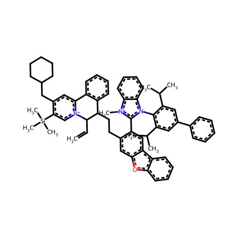 C=CC1C(CCc2cc3oc4ccccc4c3cc2-c2n(-c3c(C(C)C)cc(-c4ccccc4)cc3C(C)C)c3ccccc3[n+]2C)c2ccccc2-c2cc(CC3CCCCC3)c([Si](C)(C)C)c[n+]21